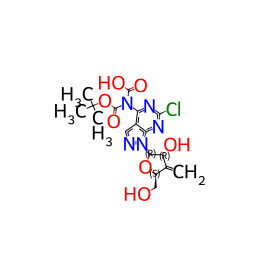 C=C1[C@@H](O)[C@H](n2ncc3c(N(C(=O)O)C(=O)OC(C)(C)C)nc(Cl)nc32)O[C@@H]1CO